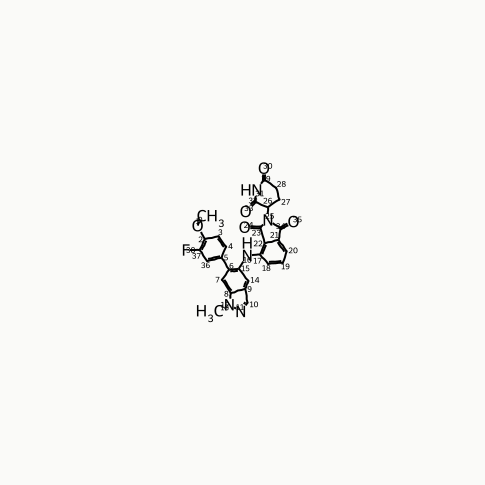 COc1ccc(-c2cc3c(cnn3C)cc2Nc2cccc3c2C(=O)N(C2CCC(=O)NC2=O)C3=O)cc1F